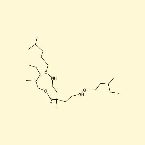 [CH2]C(CCNOCCCC(C)C)(CCNOCCC(C)CC)NOCC(C)CCC